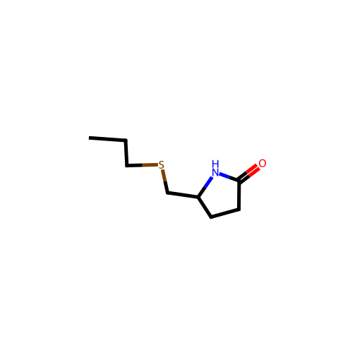 CCCSCC1CCC(=O)N1